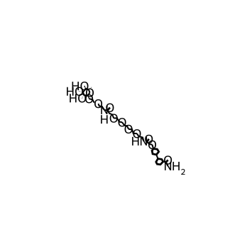 C[C@@H]1O[C@@H](OCCOCCNC(=O)CCOCCOCCOCCOCCNC(=O)COc2ccc(-c3cccc(C(N)=O)c3)cc2)[C@H](O)[C@H](O)[C@H]1O